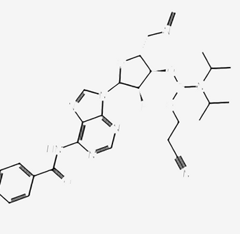 C=NC[C@H]1OC(n2cnc3c(NC(=O)c4ccccc4)ncnc32)[C@H](F)[C@@H]1OP(OCCC#N)N(C(C)C)C(C)C